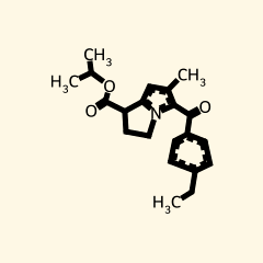 CCc1ccc(C(=O)c2c(C)cc3n2CCC3C(=O)OC(C)C)cc1